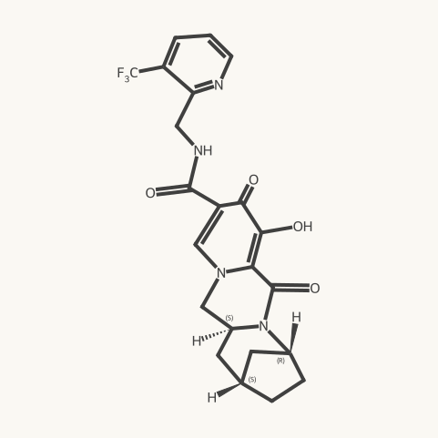 O=C(NCc1ncccc1C(F)(F)F)c1cn2c(c(O)c1=O)C(=O)N1[C@@H]3CC[C@@H](C3)C[C@H]1C2